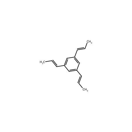 CC=Cc1[c]c(C=CC)cc(C=CC)c1